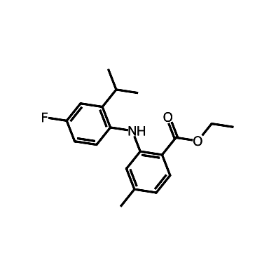 CCOC(=O)c1ccc(C)cc1Nc1ccc(F)cc1C(C)C